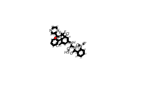 O=C(OC1(c2ccccc2)C(Cl)=CC(NC(NC(=O)c2ccccc2[N+](=O)[O-])OS)=CC1(Cl)C(F)(F)F)c1cnccn1